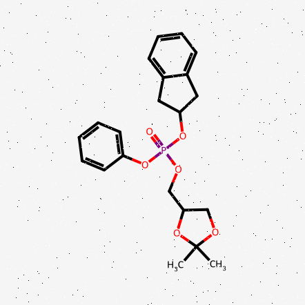 CC1(C)OCC(COP(=O)(Oc2ccccc2)OC2Cc3ccccc3C2)O1